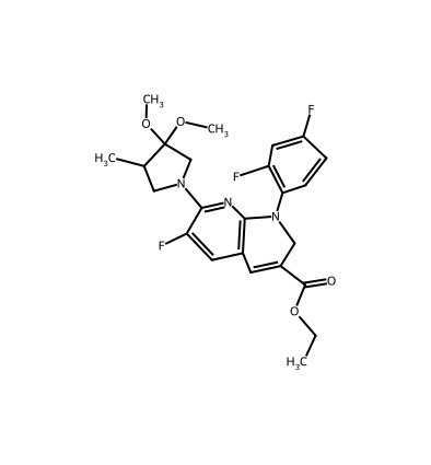 CCOC(=O)C1=Cc2cc(F)c(N3CC(C)C(OC)(OC)C3)nc2N(c2ccc(F)cc2F)C1